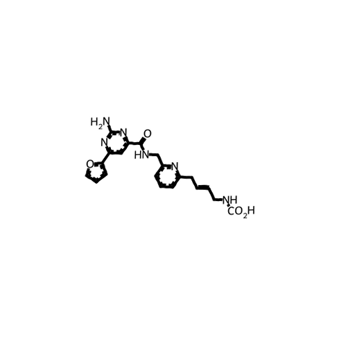 Nc1nc(C(=O)NCc2cccc(CC=CCNC(=O)O)n2)cc(-c2ccco2)n1